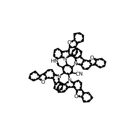 N#Cc1c(-n2c3ccccc3c3c4oc5ccccc5c4ccc32)c(-n2c3ccccc3c3c4oc5ccccc5c4ccc32)c(C=N)c(-n2c3ccccc3c3c4oc5ccccc5c4ccc32)c1-n1c2ccccc2c2c3oc4ccccc4c3ccc21